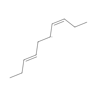 CCC=CC[CH]/C=C\CC